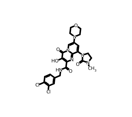 CN1CCN(c2cc(N3CCOCC3)cn3c(=O)c(O)c(C(=O)NCc4ccc(Cl)c(Cl)c4)nc23)C1=O